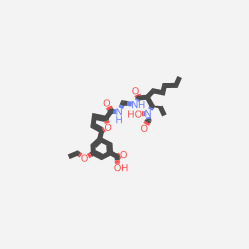 CCCCCC(C(=O)NCNC(=O)c1ccc(-c2cc(OCC)cc(C(=O)O)c2)o1)[C@@H](CC)N(O)C=O